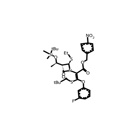 CCS[C@@H]1[C@@H]([C@@H](C)O[Si](C)(C)C(C)(C)C)C(=O)N1C(C(=O)OCc1ccc([N+](=O)[O-])cc1)=C(Oc1cccc(F)c1)SC(=O)C(C)(C)C